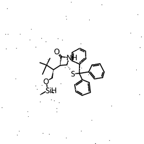 C[SiH](C)OC[C@H]([C@H]1C(=O)N[C@@H]1SC(c1ccccc1)(c1ccccc1)c1ccccc1)C(C)(C)C